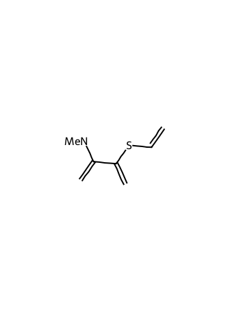 C=CSC(=C)C(=C)NC